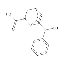 O=C(O)N1CC2C=CC1C(C(O)c1ccccc1)C2